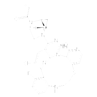 C=CC(=O)N1CCN(c2nc(=O)n3c4nc(c(Cl)cc24)-c2c(F)cccc2NCCSc2ccnc(C(C)C)c2-3)[C@H]2C[C@H]21